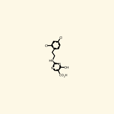 O=C(O)c1cnc(NCCc2ccc(Cl)cc2Cl)nc1O